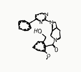 COc1cccc(CO)c1C(=O)N1CCC2CN(c3nccc(-c4ccccc4)n3)C2C1